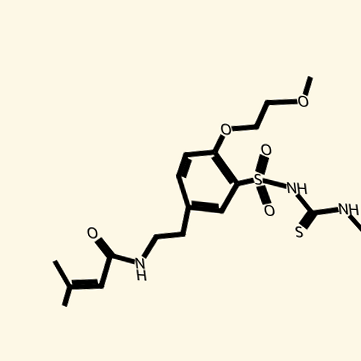 CNC(=S)NS(=O)(=O)c1cc(CCNC(=O)C=C(C)C)ccc1OCCOC